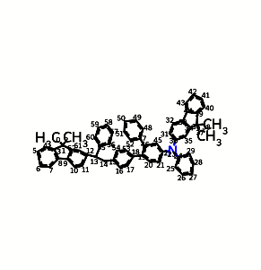 CC1(C)c2ccccc2-c2ccc(C(Cc3ccc(-c4ccc(N(c5ccccc5)c5ccc6c(c5)C(C)(C)c5ccccc5-6)cc4-c4ccccc4)cc3)c3ccccc3)cc21